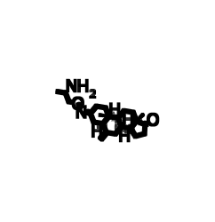 C=C1C[C@@H]2[C@@H](CC[C@]3(C)C(=O)CC[C@@H]23)[C@@]2(C)CCC(=NOCC(C)N)C[C@H]12